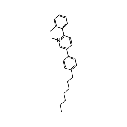 CCCCCCCc1ccc(-c2ccc(-c3ccccc3C)[n+](C)c2)cc1